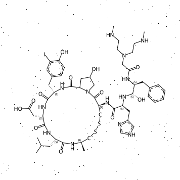 CNCCN(CCNC)CC(=O)N[C@@H](Cc1ccccc1)[C@H](O)N[C@@H](Cc1c[nH]cn1)C(=O)N[C@H]1CSSC[C@@H](C)NC(=O)[C@H](CC(C)C)NC(=O)[C@H](CC(=O)O)NC(=O)[C@H](Cc2ccc(O)c(I)c2)NC(=O)C2CC(O)CN2C1=O